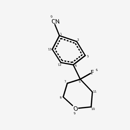 N#Cc1ccc(C2(F)CCOCC2)cc1